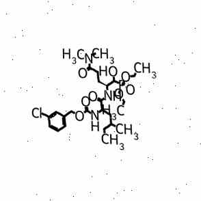 CCOP(=O)(OCC)C(O)[C@H](CCC(=O)N(C)C)NC(=O)C(CC(C)CC)NC(=O)OCc1cccc(Cl)c1